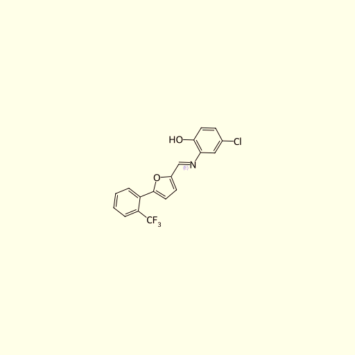 Oc1ccc(Cl)cc1/N=C/c1ccc(-c2ccccc2C(F)(F)F)o1